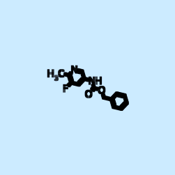 Cc1ncc(NC(=O)OCc2ccccc2)cc1F